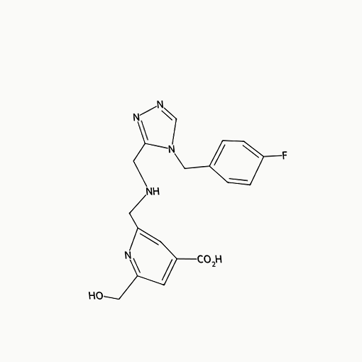 O=C(O)c1cc(CO)nc(CNCc2nncn2Cc2ccc(F)cc2)c1